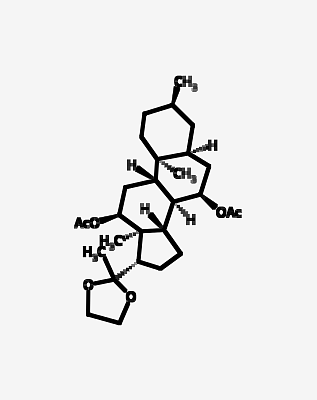 CC(=O)O[C@H]1C[C@H]2[C@@H]([C@H](OC(C)=O)C[C@@H]3C[C@H](C)CC[C@@]32C)[C@@H]2CC[C@H](C3(C)OCCO3)[C@@]12C